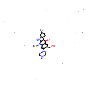 CCCn1c2cc(N3CCN(C)CC3)c(CO)cc2c(=O)c2c3ccc(C#N)cc3[nH]c21